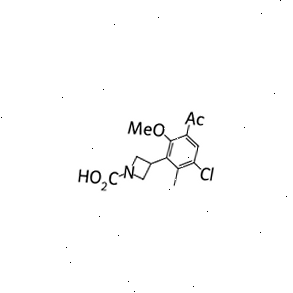 COc1c(C(C)=O)cc(Cl)c(C)c1C1CN(C(=O)O)C1